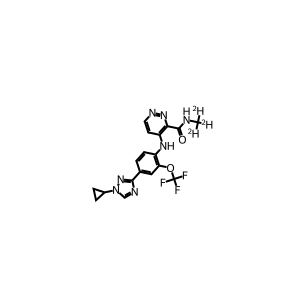 [2H]C([2H])([2H])NC(=O)c1nnccc1Nc1ccc(-c2ncn(C3CC3)n2)cc1OC(F)(F)F